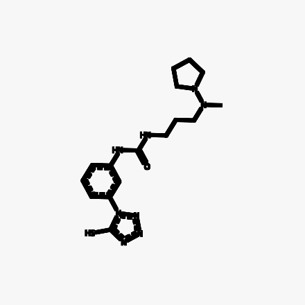 CN(CCCNC(=O)Nc1cccc(-n2nnnc2S)c1)N1CCCC1